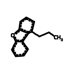 CCCc1cccc2oc3ccccc3c12